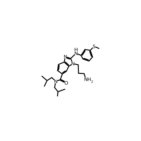 CSc1cccc(Nc2nc3ccc(C(=O)N(CC(C)C)CC(C)C)cc3n2CCCN)c1